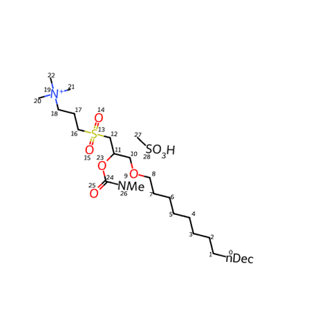 CCCCCCCCCCCCCCCCCCOCC(CS(=O)(=O)CCC[N+](C)(C)C)OC(=O)NC.CS(=O)(=O)O